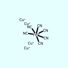 N#[C][Fe-4]([C]#N)([C]#N)([C]#N)([C]#N)[C]#N.[Cu+].[Cu+].[Cu+].[Cu+]